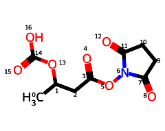 CC(CC(=O)ON1C(=O)CCC1=O)OC(=O)O